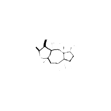 C=C1C(=O)O[C@H]2C[C@@H](C)[C@@H]3[C@@H](OC(C)=O)C[C@H](OC(C)=O)[C@@]3(C)[C@@H](OC(C)=O)[C@H]12